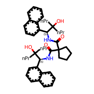 CCCC(O)(CCC)[C@@H](NC(=O)C1(C(=O)N[C@@H](c2cccc3ccccc23)C(O)(CCC)CCC)CCCC1)c1cccc2ccccc12